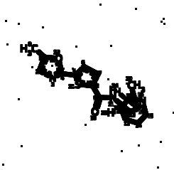 Cc1cnc(-c2ccc(C(=O)N[C@@H]3C4CCN(CC4)[C@H]3C)s2)o1